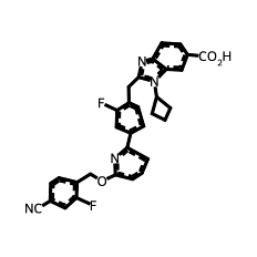 N#Cc1ccc(COc2cccc(-c3ccc(Cc4nc5ccc(C(=O)O)cc5n4C4CCC4)c(F)c3)n2)c(F)c1